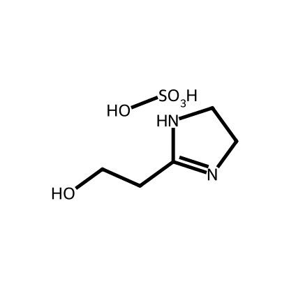 O=S(=O)(O)O.OCCC1=NCCN1